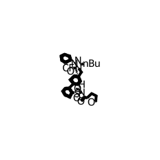 CCCCc1nn(-c2ccccc2C(F)(F)F)c(=O)n1Cc1ccc(-c2ccccc2S(=O)(=O)NC(=O)C2CCCO2)cc1